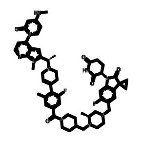 CNc1ccn(-c2ccnc3c2cc([C@H](C)N2CC=C(c4c(C)cc(C(=O)N5CCC(CN6CCN(Cc7cc8c(cc7F)N([C@@H]7CCC(=O)NC7=O)C(=O)C87CC7)C[C@@H]6C)CC5)cc4F)CC2)n3C)c(=O)c1